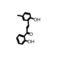 Cc1ccc(O)c(C=CC(=O)c2ccccc2O)c1